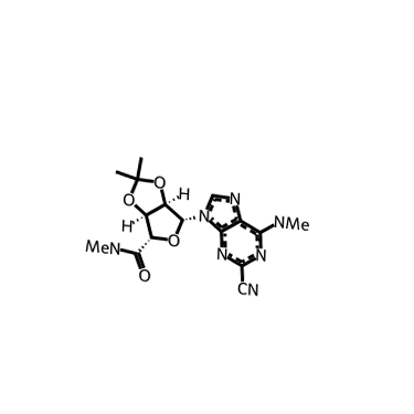 CNC(=O)[C@H]1O[C@@H](n2cnc3c(NC)nc(C#N)nc32)[C@@H]2OC(C)(C)O[C@@H]21